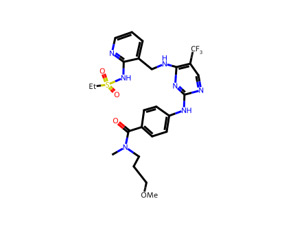 CCS(=O)(=O)Nc1ncccc1CNc1nc(Nc2ccc(C(=O)N(C)CCCOC)cc2)ncc1C(F)(F)F